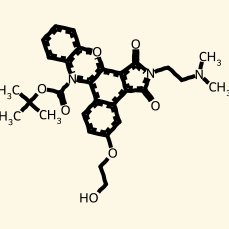 CN(C)CCn1c(=O)c2c3cc(OCCO)ccc3c3c(oc4ccccc4n3C(=O)OC(C)(C)C)c2c1=O